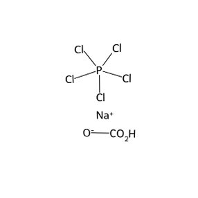 ClP(Cl)(Cl)(Cl)Cl.O=C([O-])O.[Na+]